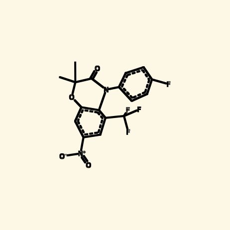 CC1(C)Oc2cc([N+](=O)[O-])cc(C(F)(F)F)c2N(c2ccc(F)cc2)C1=O